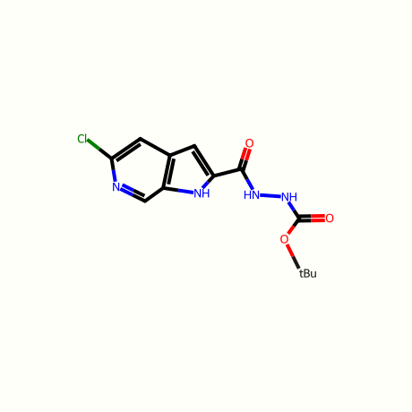 CC(C)(C)OC(=O)NNC(=O)c1cc2cc(Cl)ncc2[nH]1